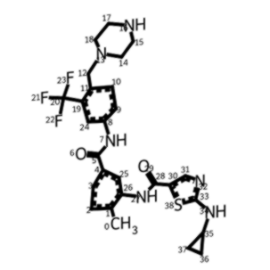 Cc1ccc(C(=O)Nc2ccc(CN3CCNCC3)c(C(F)(F)F)c2)cc1NC(=O)c1cnc(NC2CC2)s1